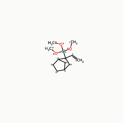 C=CC1([Si](OC)(OC)OC)CC2CCC1C2